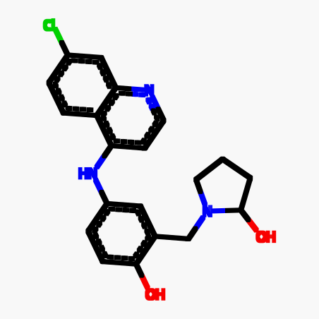 Oc1ccc(Nc2ccnc3cc(Cl)ccc23)cc1CN1CCCC1O